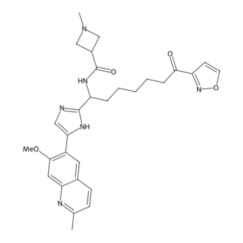 COc1cc2nc(C)ccc2cc1-c1cnc(C(CCCCCC(=O)c2ccon2)NC(=O)C2CN(C)C2)[nH]1